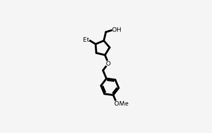 CCC1CC(OCc2ccc(OC)cc2)CC1CO